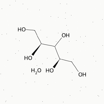 O.OC[C@@H](O)C(O)[C@@H](O)CO